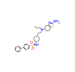 CCCN(CCC1CCC(NS(=O)(=O)c2ccc(-c3ccccc3)cc2)CC1)C1CCc2sc(N)nc2C1